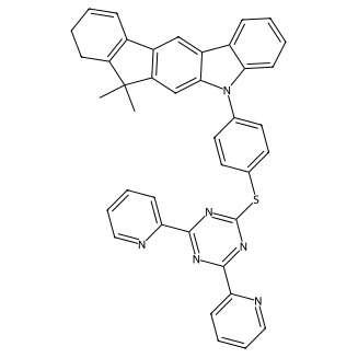 CC1(C)C2=C(C=CCC2)c2cc3c4ccccc4n(-c4ccc(Sc5nc(-c6ccccn6)nc(-c6ccccn6)n5)cc4)c3cc21